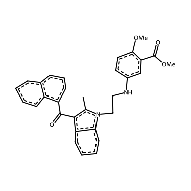 COC(=O)c1cc(NCCn2c(C)c(C(=O)c3cccc4ccccc34)c3ccccc32)ccc1OC